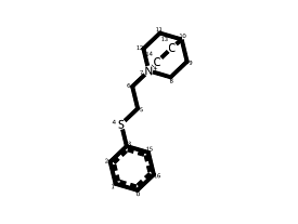 c1ccc(SCC[N+]23CCC(CC2)CC3)cc1